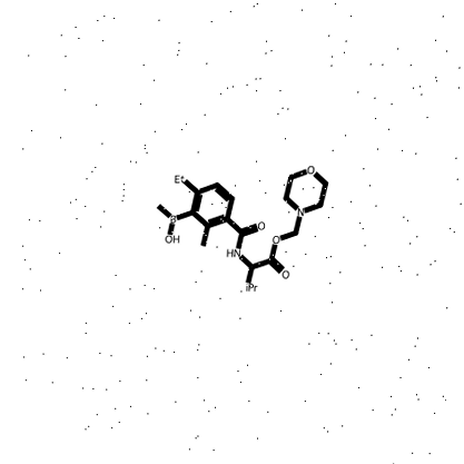 CCc1ccc(C(=O)NC(C(=O)OCN2CCOCC2)C(C)C)c(C)c1B(C)O